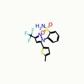 Cc1ccc(-c2cc(C(F)(F)F)nn2-c2ccccc2S(N)(=O)=O)s1